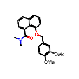 COc1ccc(COc2cccc3cccc(C(=O)N(C)C)c23)cc1OC